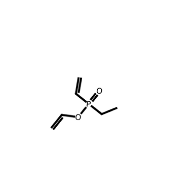 C=COP(=O)(C=C)CC